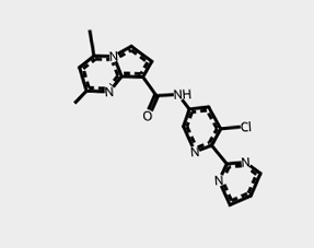 Cc1cc(C)n2ccc(C(=O)Nc3cnc(-c4ncccn4)c(Cl)c3)c2n1